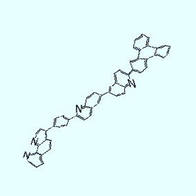 c1cnc2c(c1)ccc1c(-c3ccc(-c4ccc5cc(-c6ccc7nc(-c8ccc9c%10ccccc%10c%10ccccc%10c9c8)ccc7c6)ccc5n4)cc3)ccnc12